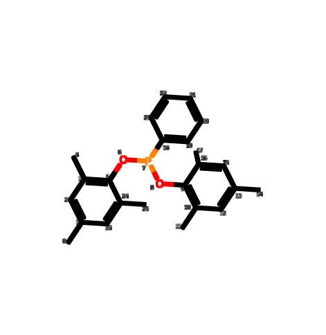 Cc1cc(C)c(OP(Oc2c(C)cc(C)cc2C)c2ccccc2)c(C)c1